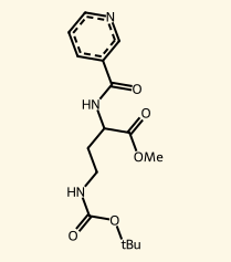 COC(=O)C(CCNC(=O)OC(C)(C)C)NC(=O)c1cccnc1